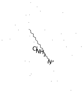 CCCCCCCCCCCCCCCCCC[N+](C)(C)C.NCl